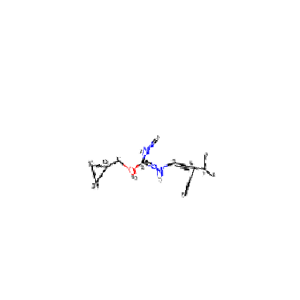 C=N/C(=N\C=C(/C)C(C)C)OCC1CC1